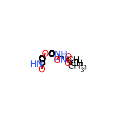 CC(C)(C)OC(=O)NCC(=O)Nc1ccc(Oc2ccc3c(c2)CC(=O)N3)cc1